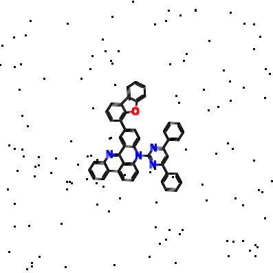 c1ccc(-c2cc(-c3ccccc3)nc(N3c4ccc(-c5cccc6c5oc5ccccc56)cc4-c4nc5ccccc5c5cccc3c45)n2)cc1